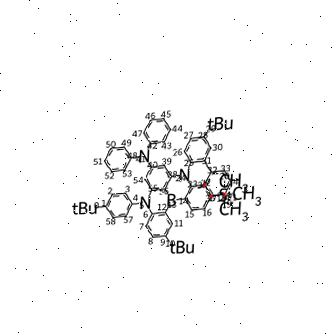 CC(C)(C)c1ccc(N2c3ccc(C(C)(C)C)cc3B3c4ccc([Si](C)(C)C)cc4N(c4ccc(C(C)(C)C)cc4-c4ccccc4)c4cc(N(c5ccccc5)c5ccccc5)cc2c43)cc1